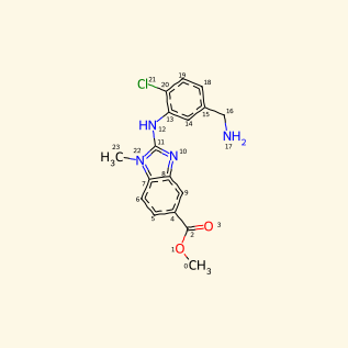 COC(=O)c1ccc2c(c1)nc(Nc1cc(CN)ccc1Cl)n2C